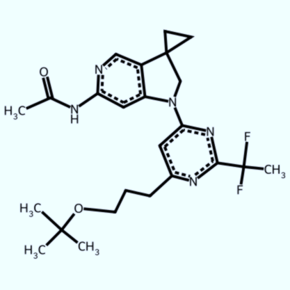 CC(=O)Nc1cc2c(cn1)C1(CC1)CN2c1cc(CCCOC(C)(C)C)nc(C(C)(F)F)n1